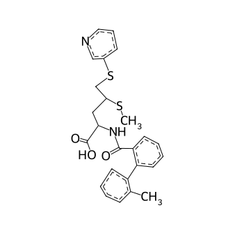 CSC(CSc1cccnc1)CC(NC(=O)c1ccccc1-c1ccccc1C)C(=O)O